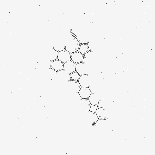 Cc1c(-c2cc(NC(C)c3ccccn3)c3c(C#N)cnn3c2)cnn1C1CCN(C2CN(C(=O)O)C2(C)C)CC1